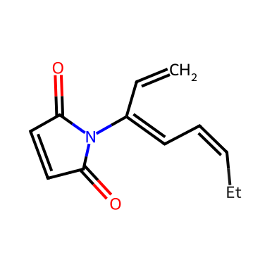 C=C/C(=C\C=C/CC)N1C(=O)C=CC1=O